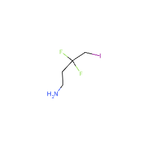 NCCC(F)(F)CI